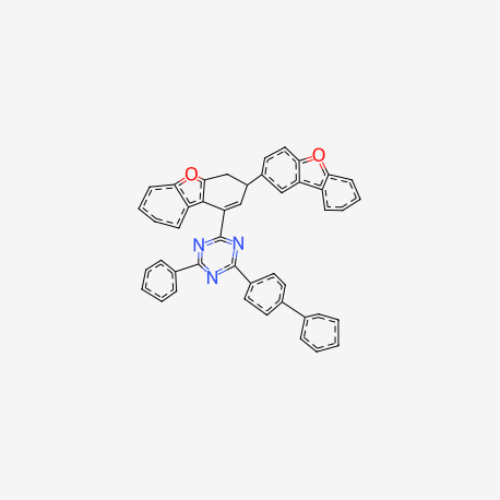 C1=C(c2nc(-c3ccccc3)nc(-c3ccc(-c4ccccc4)cc3)n2)c2c(oc3ccccc23)CC1c1ccc2oc3ccccc3c2c1